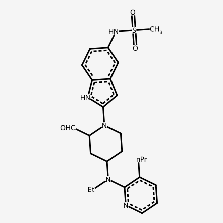 CCCc1cccnc1N(CC)C1CCN(c2cc3cc(NS(C)(=O)=O)ccc3[nH]2)C(C=O)C1